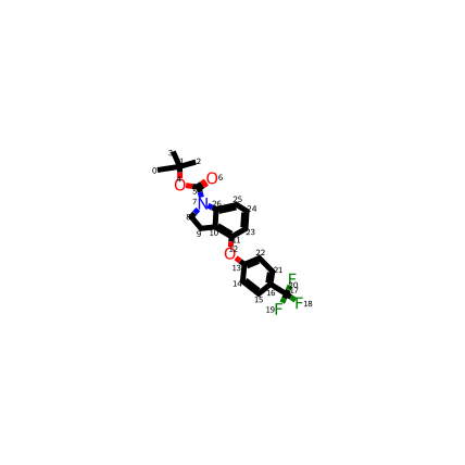 CC(C)(C)OC(=O)N1CCc2c(Oc3ccc(C(F)(F)F)cc3)cccc21